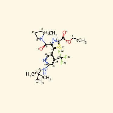 CCOC(=O)c1nc(C(=O)N2CCCC2C)c(-c2cnc(NCC(C)(C)C)cc2C(F)(F)F)s1